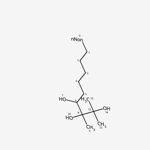 CCCCCCCCCCCCCCC(O)C(C)(O)C(C)(C)O